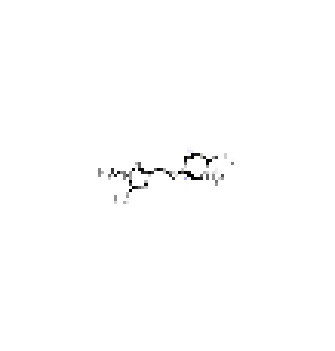 C=C(C)/C=C\C(=C/C)SCC1=NN(C)C(O)C1